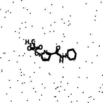 CS(=O)(=O)On1ccc(C(=O)NN2CCCCC2)n1